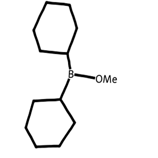 COB(C1CCCCC1)C1CCCCC1